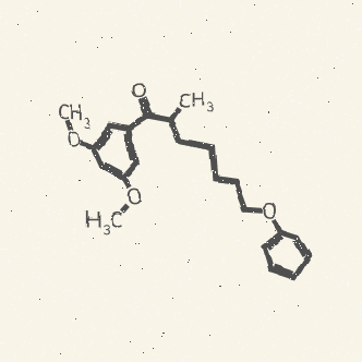 COc1cc(OC)cc(C(=O)C(C)CCCCCOc2ccccc2)c1